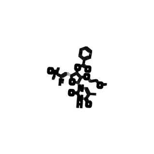 COCCO[C@@H]1[C@H](OC(=O)c2ccccc2)[C@@H](/C=C(\F)P(C)(C)=O)O[C@H]1n1cc(C)c(=O)[nH]c1=O